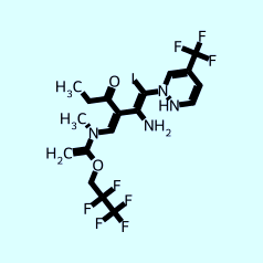 C=C(OCC(F)(F)C(F)(F)F)N(C)/C=C(C(=O)CC)/C(N)=C(\I)N1C=C(C(F)(F)F)C=CN1